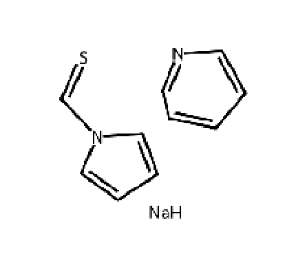 S=Cn1cccc1.[NaH].c1ccncc1